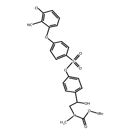 CN(CC(O)c1ccc(OS(=O)(=O)c2ccc(Oc3cccc(Cl)c3C#N)cc2)cc1)C(=O)OC(C)(C)C